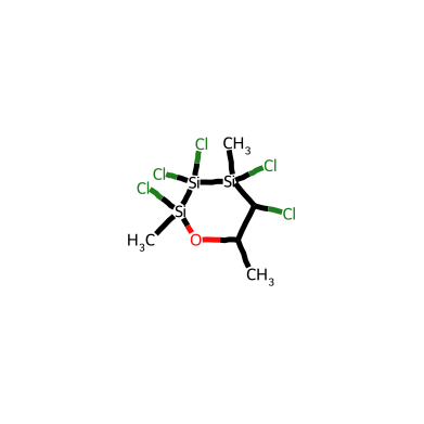 CC1O[Si](C)(Cl)[Si](Cl)(Cl)[Si](C)(Cl)C1Cl